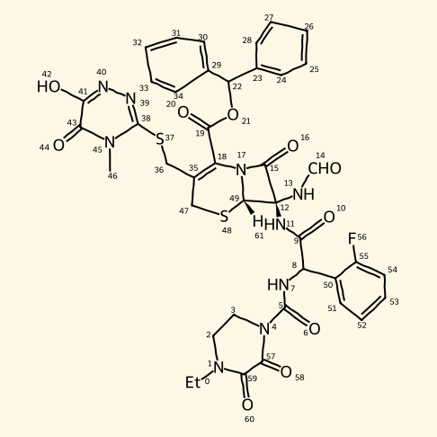 CCN1CCN(C(=O)NC(C(=O)N[C@]2(NC=O)C(=O)N3C(C(=O)OC(c4ccccc4)c4ccccc4)=C(CSc4nnc(O)c(=O)n4C)CS[C@H]32)c2ccccc2F)C(=O)C1=O